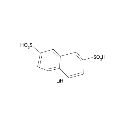 O=S(=O)(O)c1ccc2ccc(S(=O)(=O)O)cc2c1.[LiH]